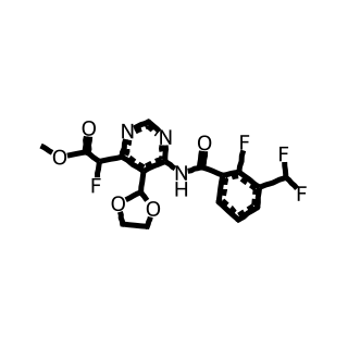 COC(=O)C(F)c1ncnc(NC(=O)c2cccc(C(F)F)c2F)c1C1OCCO1